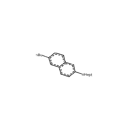 CCCCCCCc1ccc2cc(CCCC)ccc2c1